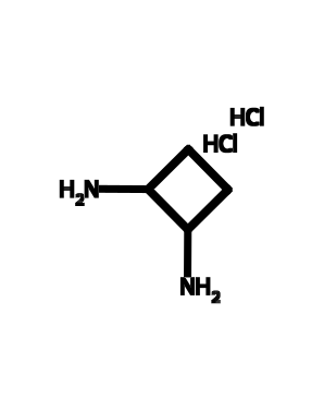 Cl.Cl.NC1CCC1N